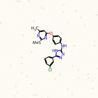 CSc1nc(C)cc(Oc2ccc(Nc3nnc(-c4cccc(Cl)c4)[nH]3)cc2)n1